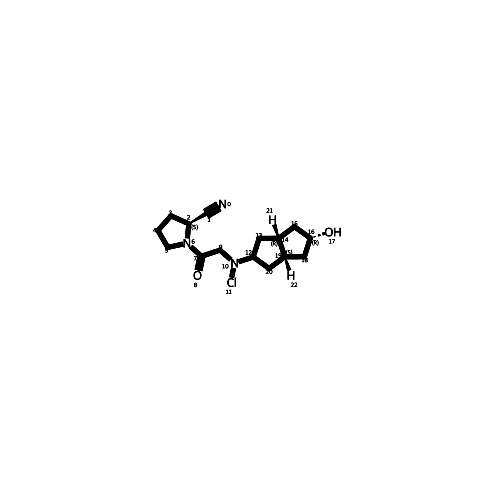 N#C[C@@H]1CCCN1C(=O)CN(Cl)C1C[C@@H]2C[C@H](O)C[C@@H]2C1